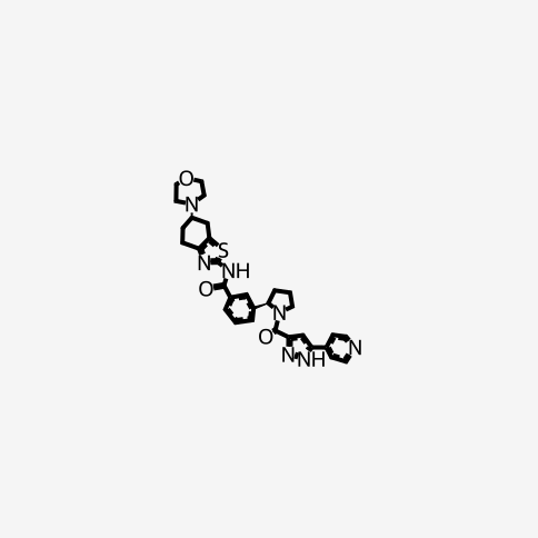 O=C(Nc1nc2c(s1)C[C@@H](N1CCOCC1)CC2)c1cccc([C@H]2CCCN2C(=O)c2cc(-c3ccncc3)[nH]n2)c1